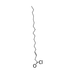 CCCCCCCCCCCCCCC=CCC(=O)Cl